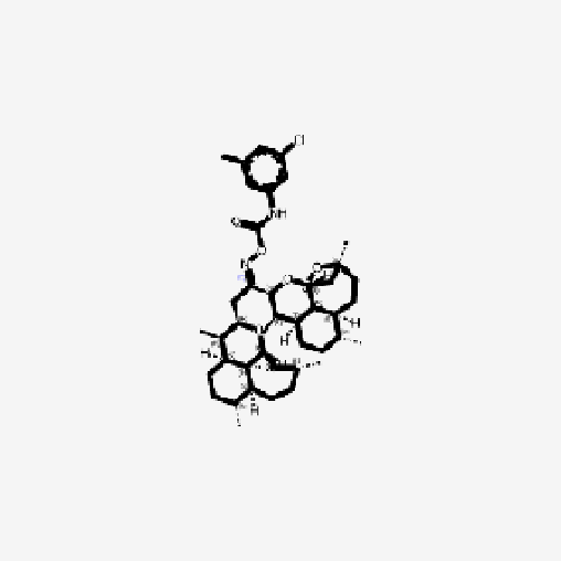 Cc1cc(Cl)cc(NC(=O)O/N=C(/C[C@H]2O[C@@H]3C[C@]4(C)CC[C@H]5[C@H](C)CC[C@@H]([C@H]2C)[C@@]35OO4)[C@H]2O[C@@H]3C[C@]4(C)CC[C@H]5[C@H](C)CC[C@@H]([C@H]2C)[C@@]35OO4)c1